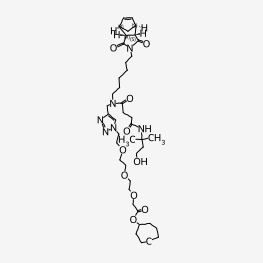 CC(C)(CCO)NC(=O)CCC(=O)N(CCCCCCN1C(=O)[C@@H]2[C@H](C1=O)[C@H]1C=C[C@@H]2C1)Cc1cn(CCOCCOCCOCC(=O)OC2CCCCCC2)nn1